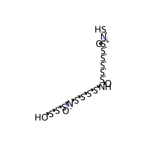 O=C(NCSCSCSCSC/N=C/[S+]([O-])CSCSCO)SCSCSCSCSC[S+]([O-])/C=N/CS